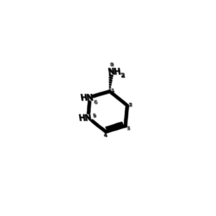 N[C@@H]1CC=CNN1